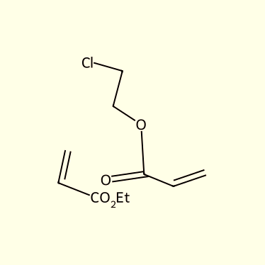 C=CC(=O)OCC.C=CC(=O)OCCCl